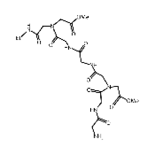 CCNC(=O)CN(CC(=O)OC)C(=O)CNC(=O)CNC(=O)CN(CC(=O)OC)C(=O)CNC(=O)CN